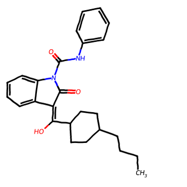 CCCCC1CCC(C(O)=C2C(=O)N(C(=O)Nc3ccccc3)c3ccccc32)CC1